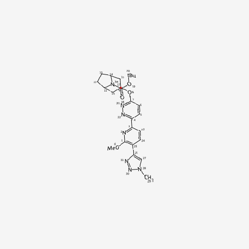 COc1nc(-c2ccc(OC3CC4CCC(C3)N4C(=O)OC(C)(C)C)nn2)ccc1-c1cn(C)nn1